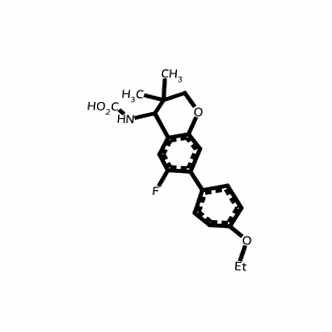 CCOc1ccc(-c2cc3c(cc2F)C(NC(=O)O)C(C)(C)CO3)cc1